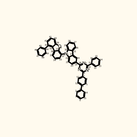 c1ccc(-c2ccc(-c3nc(-c4ccccc4)nc(-c4ccc5c(c4)c4ccccc4n5-c4cccc5c4oc4cccc(-c6ccccc6)c45)n3)cc2)cc1